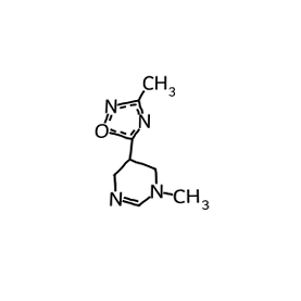 Cc1noc(C2CN=CN(C)C2)n1